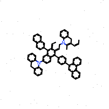 C/C=C\C1=C(C)N(C/C=c2/c(-c3ccc(-c4cc5ccccc5c5ccccc45)cc3)c3ccc(N4c5ccccc5Cc5ccccc54)cc3c(-c3ccc4ccccc4c3)/c2=C/C)c2ccccc2C1